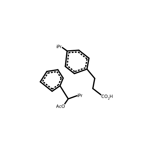 CC(=O)OC(c1ccccc1)C(C)C.CC(C)c1ccc(CCC(=O)O)cc1